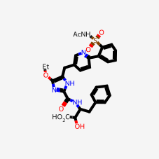 CCOc1nc(C(=O)NC(Cc2ccccc2)C(O)C(=O)O)[nH]c1Cc1ccc(-c2ccccc2S(=O)(=O)NC(C)=O)nc1